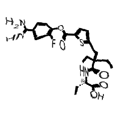 CC[C@H](NC(=O)C(CC)(CC)Cc1ccc(C(=O)Oc2ccc(C(=N)N)cc2F)s1)C(=O)O